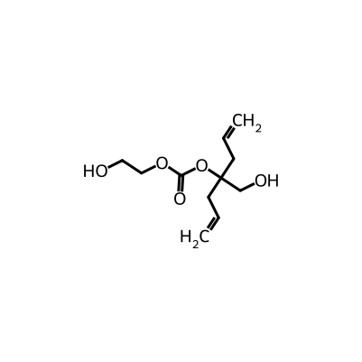 C=CCC(CO)(CC=C)OC(=O)OCCO